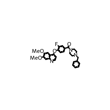 COc1cc2nccc(Oc3ccc(C(=O)N4CCN(Cc5ccccc5)CC4)cc3F)c2cc1OC